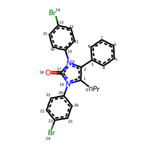 CCCc1c(-c2ccccc2)n(-c2ccc(Br)cc2)c(=O)n1-c1ccc(Br)cc1